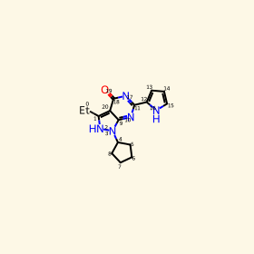 CCc1[nH]n(C2CCCC2)c2nc(-c3ccc[nH]3)nc(=O)c1-2